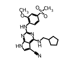 COc1cc(S(C)(=O)=O)ccc1Nc1nc(NCC2CCCC2)c2c(C#N)c[nH]c2n1